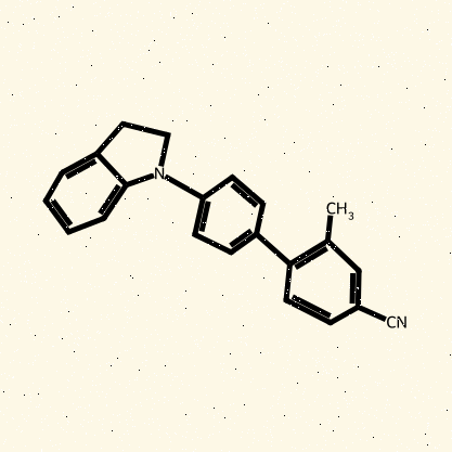 Cc1cc(C#N)ccc1-c1ccc(N2CCc3ccccc32)cc1